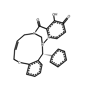 O=C1c2c(O)c(=O)ccn2N2CN1C/C=C\CCc1ccccc1[C@H]2c1ccccc1